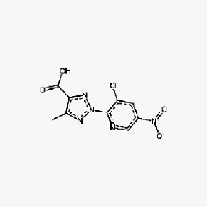 Cc1nn(-c2ncc([N+](=O)[O-])cc2Cl)nc1C(=O)O